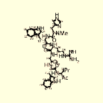 CN[C@@H](Cc1c[nH]cn1)C(=O)N[C@@H](Cc1c[nH]c2ccccc12)C(=O)N[C@@H](CCCNC(=N)N)C(=O)NCC(=O)N[C@@H](Cc1c[nH]c2ccccc12)C(=O)N[C@H](C(C)=O)C(C)C